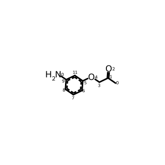 CC(=O)COc1cccc(N)c1